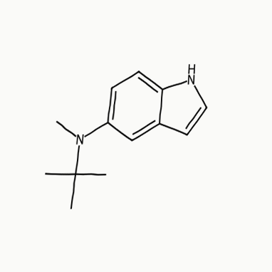 CN(c1ccc2[nH]ccc2c1)C(C)(C)C